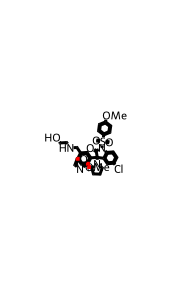 COc1ccc(S(=O)(=O)N2C(=O)C(c3cc(CNCCO)ccc3OC)(N3CCC[C@H]3c3ncco3)c3cc(Cl)ccc32)cc1